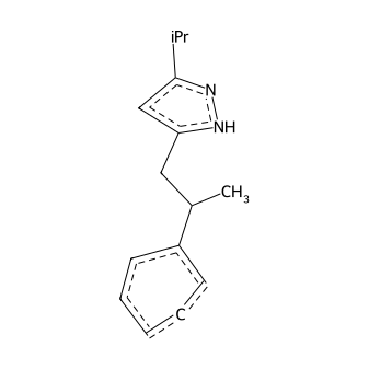 CC(C)c1cc(CC(C)c2ccccc2)[nH]n1